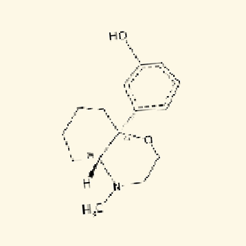 CN1CCO[C@]2(c3cccc(O)c3)CCCC[C@@H]12